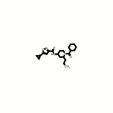 CCCC1CC(NC(=O)c2cc(C3CC3)on2)CCN1C(=O)C1CCCCC1